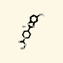 CC(C)(C)OC(=O)N1CCC(c2nc3cc(N)ccc3s2)CC1.[Sn]